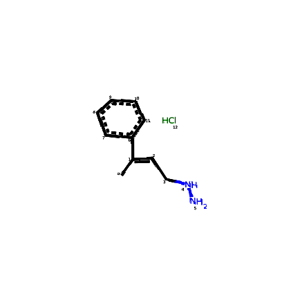 CC(=CCNN)c1ccccc1.Cl